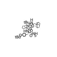 CC(C)(C)Oc1ccc(C[C@H](NC(=O)[C@@H]2C3CCCC3CN2C(=O)[C@@H](NC(=O)CC23CC4CC(CC(C4)C2)C3)C(C)(C)C)C(=O)C(=O)NC2CC2)cc1